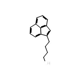 CCCCCC1=Cc2cccc3cccc1c23